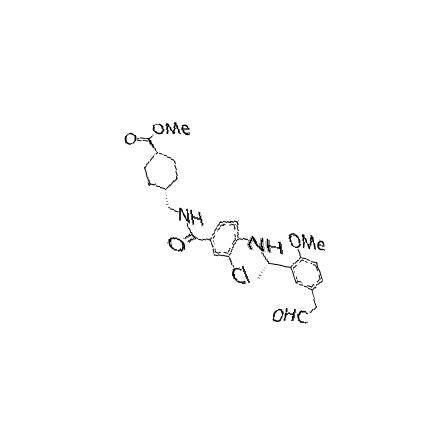 COc1ccc(CC=O)cc1[C@H](C)Nc1ccc(C(=O)NC[C@H]2CC[C@H](C(=O)OC)CC2)cc1Cl